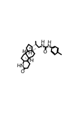 Cc1ccc(NC(=O)NCC(C)[C@H]2CC[C@H]3[C@@H]4CCC5NC(=O)CC[C@]5(C)[C@H]4CC[C@]23C)cc1